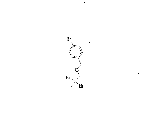 CC(Br)(Br)COCc1ccc(Br)cc1